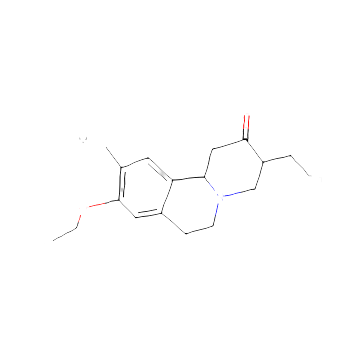 COc1cc2c(cc1OCC(F)(F)F)CCN1CC(CC(C)C)C(=O)CC21